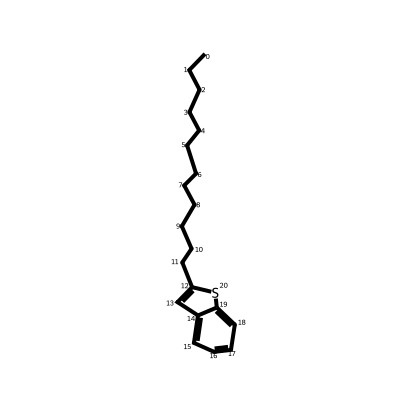 CCCCCCCCCCCCc1cc2ccccc2s1